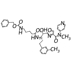 Cc1cccc(CC[C@H](NC(=O)CCCCNC(=O)OCc2ccccc2)C(O)c2nc(C(=O)N(C)c3ccncc3)co2)c1